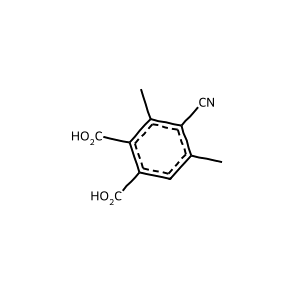 Cc1cc(C(=O)O)c(C(=O)O)c(C)c1C#N